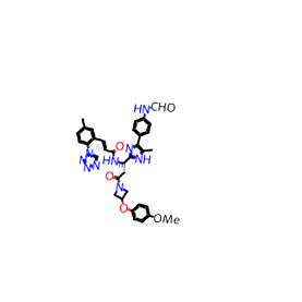 COc1ccc(OC2CN(C(=O)C[C@H](NC(=O)/C=C/c3cc(C)ccc3-n3cnnn3)c3nc(-c4ccc(NC=O)cc4)c(C)[nH]3)C2)cc1